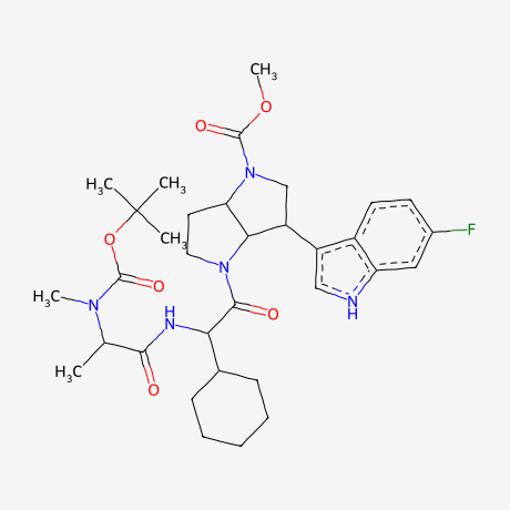 COC(=O)N1CC(c2c[nH]c3cc(F)ccc23)C2C1CCN2C(=O)C(NC(=O)C(C)N(C)C(=O)OC(C)(C)C)C1CCCCC1